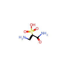 NC=C(C(N)=O)S(=O)(=O)O